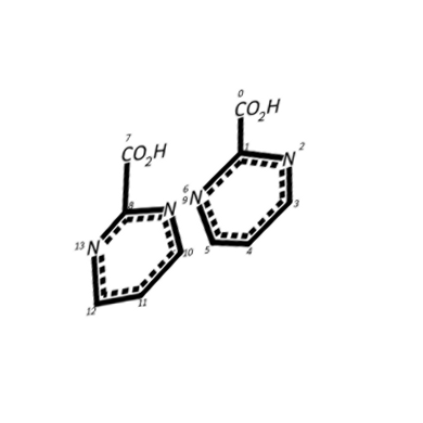 O=C(O)c1ncccn1.O=C(O)c1ncccn1